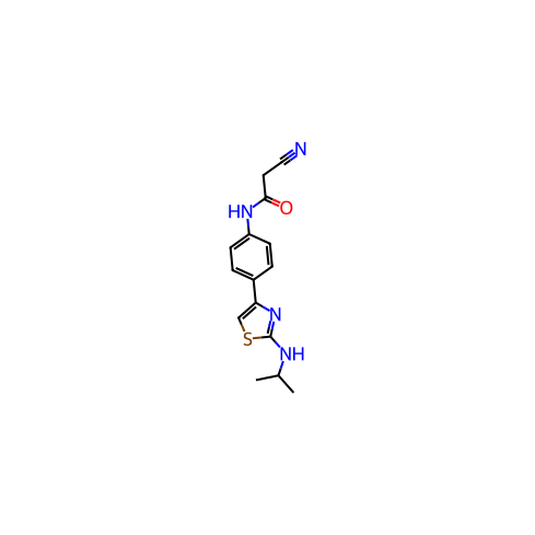 CC(C)Nc1nc(-c2ccc(NC(=O)CC#N)cc2)cs1